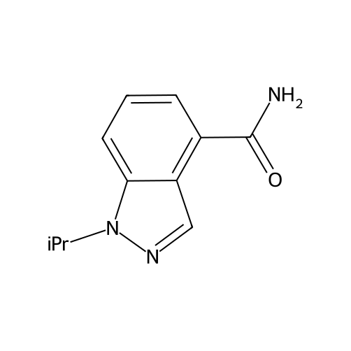 CC(C)n1ncc2c(C(N)=O)cccc21